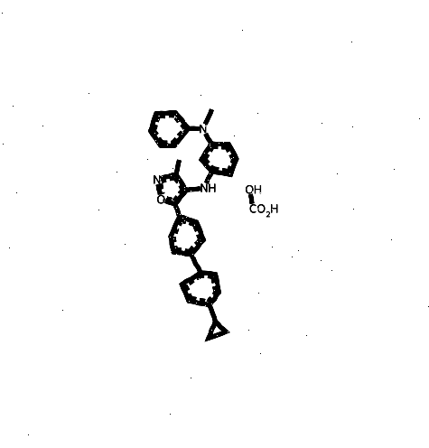 Cc1noc(-c2ccc(-c3ccc(C4CC4)cc3)cc2)c1Nc1cccc(N(C)c2ccccc2)c1.O=C(O)O